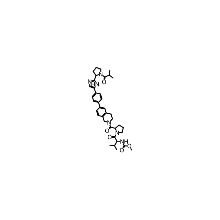 COC(=O)N[C@H](C(=O)N1CCCC1C(=O)N1CCc2cc(-c3ccc(-c4cnc(C5CCCN5C(=O)C(C)C)[nH]4)cc3)ccc2C1)C(C)C